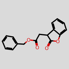 O=C(CC1C(=O)Oc2ccccc21)OCc1ccccc1